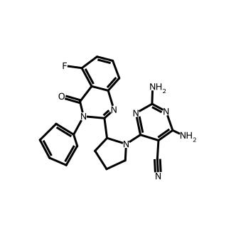 N#Cc1c(N)nc(N)nc1N1CCCC1c1nc2cccc(F)c2c(=O)n1-c1ccccc1